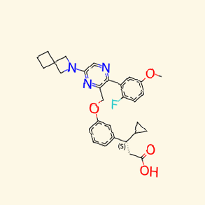 COc1ccc(F)c(-c2ncc(N3CC4(CCC4)C3)nc2COc2cccc([C@@H](CC(=O)O)C3CC3)c2)c1